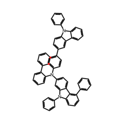 c1ccc(-c2ccccc2N(c2ccc(-c3ccc4c(c3)c3ccccc3n4-c3ccccc3)cc2)c2ccc3c4c(-c5ccccc5)cccc4n(-c4ccccc4)c3c2)cc1